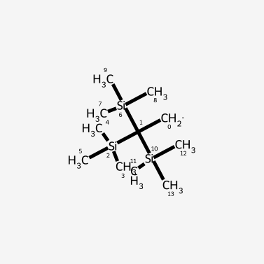 [CH2]C([Si](C)(C)C)([Si](C)(C)C)[Si](C)(C)C